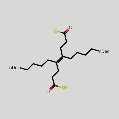 CCCCCCCCCCCCCC/C(CCC(=O)S)=C(/CCCCCCCCCCCCCC)CCC(=O)S